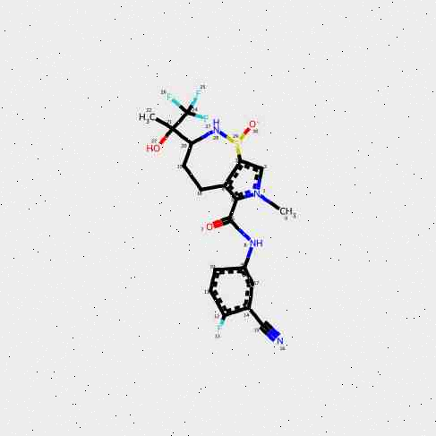 Cn1cc2c(c1C(=O)Nc1ccc(F)c(C#N)c1)CCC(C(C)(O)C(F)(F)F)N[S+]2[O-]